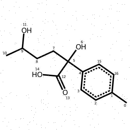 Cc1ccc(C(O)(CCC(C)O)C(=O)O)cc1